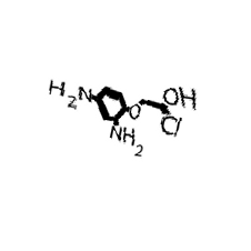 Nc1ccc(OCC(O)Cl)c(N)c1